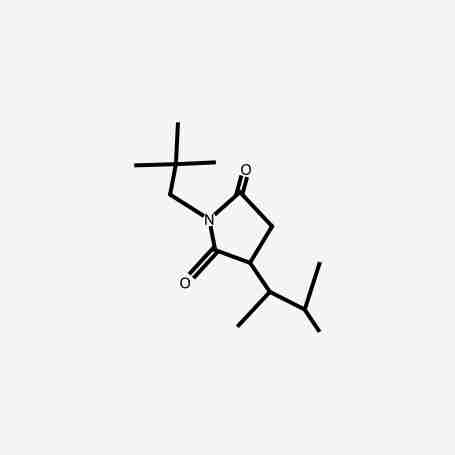 CC(C)C(C)C1CC(=O)N(CC(C)(C)C)C1=O